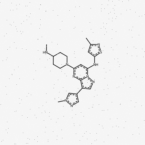 CNC1CCN(c2cc(Nc3cc(C)ns3)n3ncc(-c4cnn(C)c4)c3n2)CC1